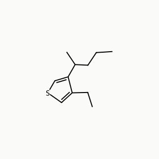 CCCC(C)c1cscc1CC